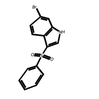 O=S(=O)(c1ccccc1)c1c[nH]c2cc(Br)ccc12